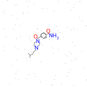 CC(C)CCCN1CCN(C(=O)c2ccc(C(N)=O)cc2)CC1